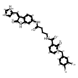 O=C(CCCNC(=O)c1cccn(Cc2ccc(F)c(F)c2)c1=O)Nc1ccc2c(c1)NC(=O)C2=Cc1cnc[nH]1